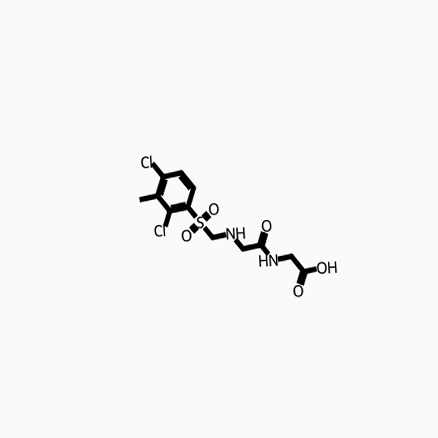 Cc1c(Cl)ccc(S(=O)(=O)CNCC(=O)NCC(=O)O)c1Cl